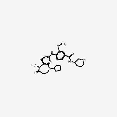 COc1cc(C(=O)N[C@@H]2CCCNC2)ccc1Nc1ncc2c(n1)N(C1CCCC1)CCC(=O)N2C